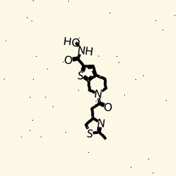 CC1=NC(CC(=O)N2CCc3cc(C(=O)NO)sc3C2)CS1